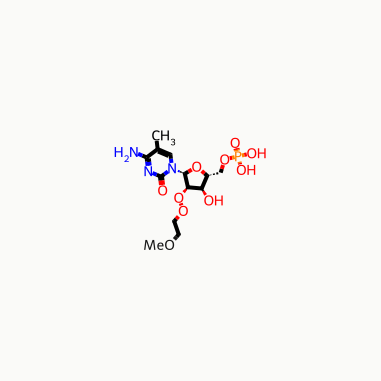 COCCOO[C@@H]1[C@H](O)[C@@H](COP(=O)(O)O)O[C@H]1n1cc(C)c(N)nc1=O